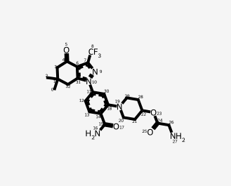 CC1(C)CC(=O)c2c(C(F)(F)F)nn(-c3ccc(C(N)=O)c(N4CCC(OC(=O)CN)CC4)c3)c2C1